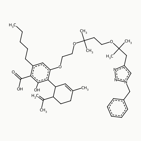 C=C(C)C1CCC(C)=CC1c1c(OCCOC(C)(C)CCOC(C)(C)Cc2cn(Cc3ccccc3)nn2)cc(CCCCC)c(C(=O)O)c1O